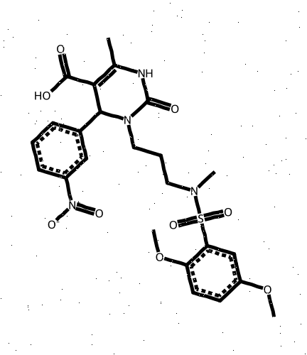 COc1ccc(OC)c(S(=O)(=O)N(C)CCCN2C(=O)NC(C)=C(C(=O)O)C2c2cccc([N+](=O)[O-])c2)c1